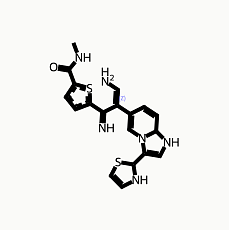 CNC(=O)c1ccc(C(=N)/C(=C\N)C2=CN3C(C4NC=CS4)=CNC3C=C2)s1